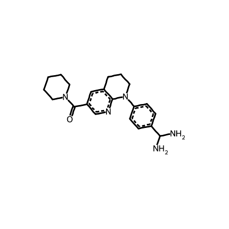 NC(N)c1ccc(N2CCCc3cc(C(=O)N4CCCCC4)cnc32)cc1